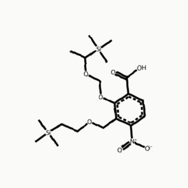 CC(OCOc1c(C(=O)O)ccc([N+](=O)[O-])c1COCC[Si](C)(C)C)[Si](C)(C)C